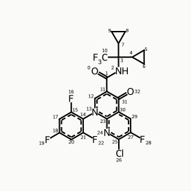 O=C(NC(C1CC1)(C1CC1)C(F)(F)F)c1cn(-c2c(F)cc(F)cc2F)c2nc(Cl)c(F)cc2c1=O